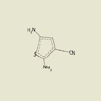 N#Cc1cc(N)sc1N